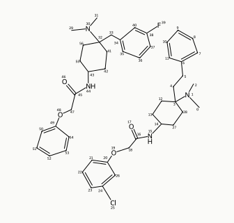 CN(C)C1(CCc2ccccc2)CCC(NC(=O)COc2cccc(Cl)c2)CC1.CN(C)C1(Cc2cccc(F)c2)CCC(NC(=O)COc2ccccc2)CC1